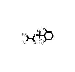 C=C(C)C(=O)OC(C)(C)C1C(C)=CCCC1C